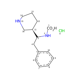 Cl.O=C(O)NC(Cc1ccccc1)[C@@H]1CCCNC1